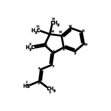 C=C1/C(=C\C=C(/C)S)c2ccccc2C1(C)C